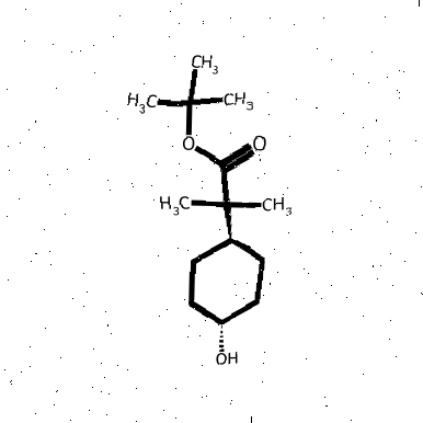 CC(C)(C)OC(=O)C(C)(C)[C@H]1CC[C@H](O)CC1